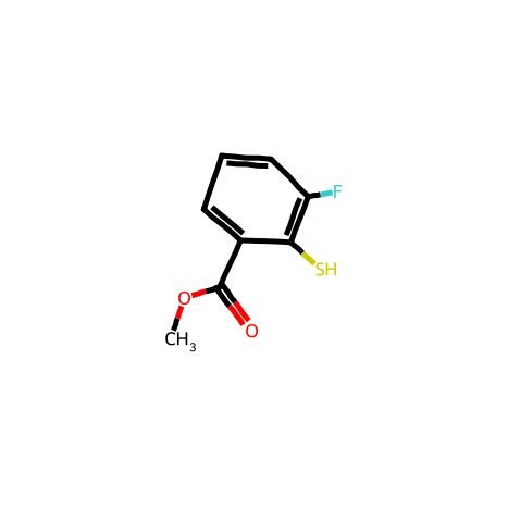 COC(=O)c1cccc(F)c1S